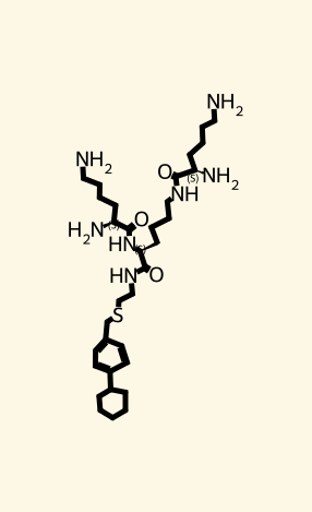 NCCCC[C@H](N)C(=O)NCCCC[C@H](NC(=O)[C@@H](N)CCCCN)C(=O)NCCSCc1ccc(C2CCCCC2)cc1